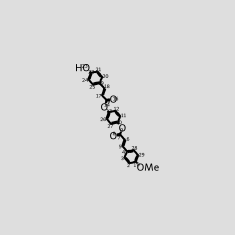 COc1ccc(/C=C/C(=O)Oc2ccc(OC(=O)/C=C/c3ccc(O)cc3)cc2)cc1